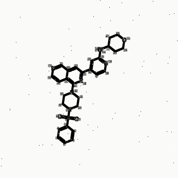 O=S(=O)(c1ccccc1)N1CCN(c2nc(-c3ccnc(NC4CCOCC4)c3)cc3cnccc23)CC1